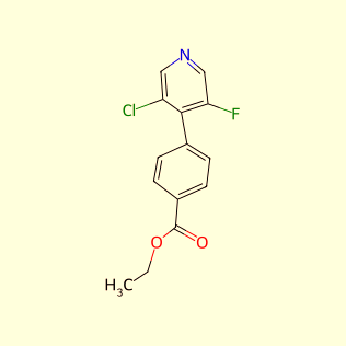 CCOC(=O)c1ccc(-c2c(F)cncc2Cl)cc1